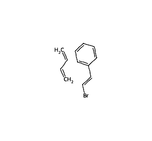 BrC=Cc1ccccc1.C=CC=C